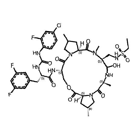 CCS(=O)(=O)NC[C@H]1C(O)N[C@@H](C)C(=O)N2C[C@H](C)C[C@H]2C(=O)OC[C@H](NC(=O)[C@H](Cc2cc(F)cc(F)c2)NC(=O)Nc2ccc(Cl)cc2F)C(=O)N2CC(C)C[C@H]2C(=O)N1C